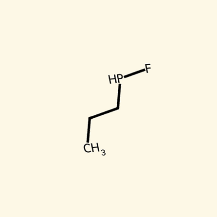 CCCPF